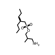 CCC=C(CCC)CS(=O)(=O)OCC(C)CN